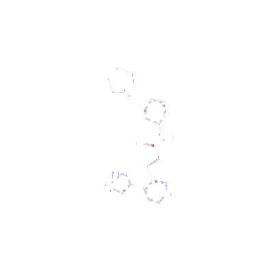 Cn1cc(-c2ccncc2/C=C/C(=O)Nc2cccc(CN3CCCCC3)c2)cn1